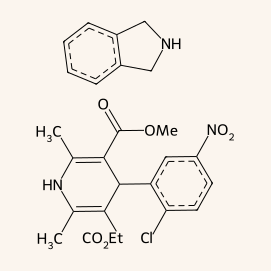 CCOC(=O)C1=C(C)NC(C)=C(C(=O)OC)C1c1cc([N+](=O)[O-])ccc1Cl.c1ccc2c(c1)CNC2